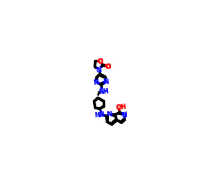 O=C1OCCN1c1cnc(NC[C@H]2CC[C@H](Nc3ccc4ccnc(O)c4n3)CC2)nc1